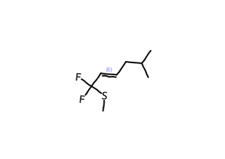 CSC(F)(F)/C=C/CC(C)C